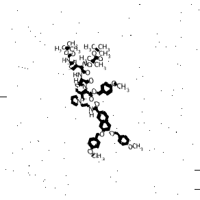 COc1ccc(COC(=O)C2=C(C[N+]3(CCNC(=O)c4ccc5cc(OCc6ccc(OC)cc6)c(OCc6ccc(OC)cc6)cc5c4)CCCC3)CS[C@@H]3[C@H](NC(=O)/C(=N\OC(C)(C)C(=O)OC(C)(C)C)c4csc(NC(=O)OC(C)(C)C)n4)C(=O)N23)cc1